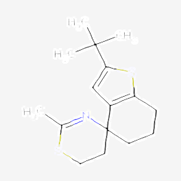 CC1=NC2(CCCc3sc(C(C)(C)C)cc32)CCS1